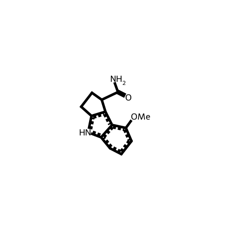 COc1cccc2[nH]c3c(c12)C(C(N)=O)CC3